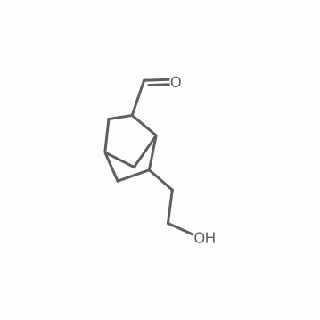 O=CC1CC2CC(CCO)C1C2